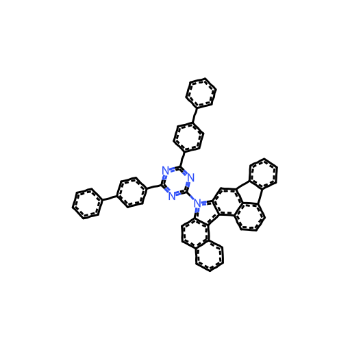 c1ccc(-c2ccc(-c3nc(-c4ccc(-c5ccccc5)cc4)nc(-n4c5ccc6ccccc6c5c5c6cccc7c6c(cc54)-c4ccccc4-7)n3)cc2)cc1